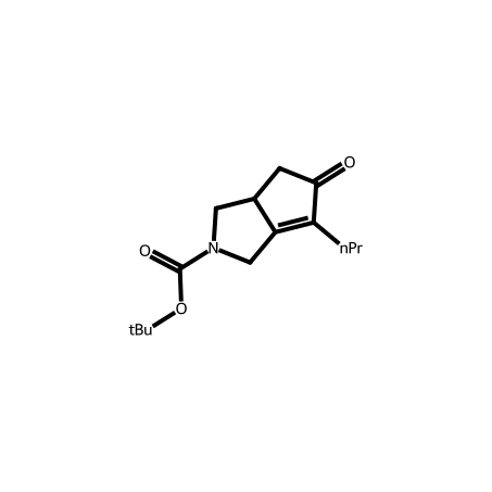 CCCC1=C2CN(C(=O)OC(C)(C)C)CC2CC1=O